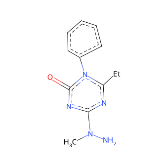 CCc1nc(N(C)N)nc(=O)n1-c1ccccc1